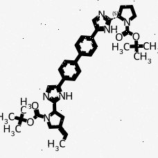 CC=C1CC(c2ncc(-c3ccc(-c4ccc(-c5cnc([C@@H]6CCCN6C(=O)OC(C)(C)C)[nH]5)cc4)cc3)[nH]2)N(C(=O)OC(C)(C)C)C1